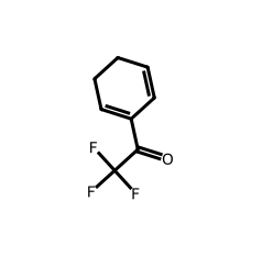 O=C(C1=CCCC=C1)C(F)(F)F